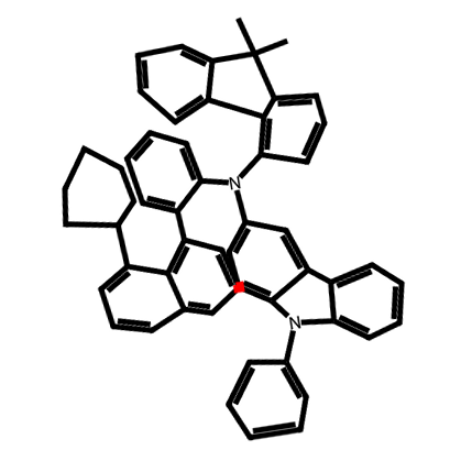 CC1(C)c2ccccc2-c2c(N(c3ccc4c(c3)c3ccccc3n4-c3ccccc3)c3ccccc3-c3cccc4cccc(C5CCCCC5)c34)cccc21